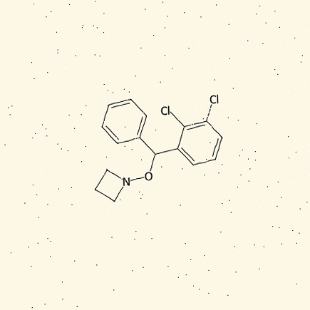 Clc1cccc(C(ON2CCC2)c2ccccc2)c1Cl